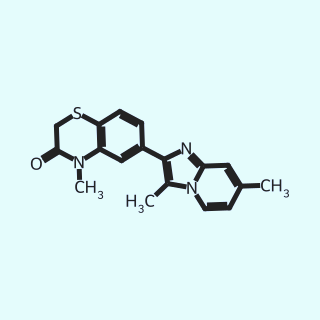 Cc1ccn2c(C)c(-c3ccc4c(c3)N(C)C(=O)CS4)nc2c1